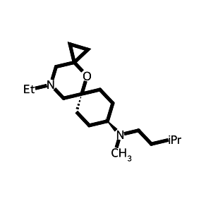 CCN1CC2(CC2)O[C@]2(CC[C@H](N(C)CCC(C)C)CC2)C1